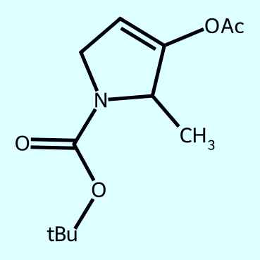 CC(=O)OC1=CCN(C(=O)OC(C)(C)C)C1C